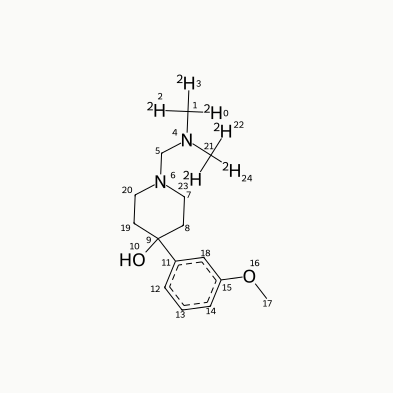 [2H]C([2H])([2H])N(CN1CCC(O)(c2cccc(OC)c2)CC1)C([2H])([2H])[2H]